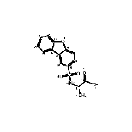 C[C@H](NS(=O)(=O)c1ccc2oc3ccccc3c2c1)C(=O)O